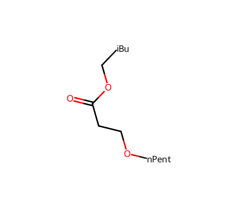 CCCCCOCCC(=O)OCC(C)CC